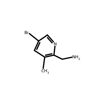 Cc1cc(Br)cnc1CN